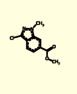 COC(=O)c1ccc2c(Cl)nn(C)c2c1